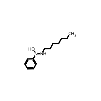 CCCCCCCNN(O)c1ccccc1